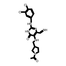 CC(=O)N1CCC(CNc2c(C=N)nc(NCc3ccc(Cl)c(Cl)c3)[nH]c2=O)C1